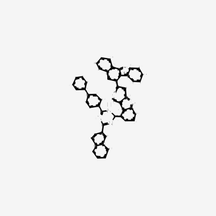 c1ccc(-c2ccc(C3=NC(c4ccc5ccccc5c4)=NC(c4cccc5oc6cc(-c7cc8ccccc8c8oc9ccccc9c78)ccc6c45)N3)cc2)cc1